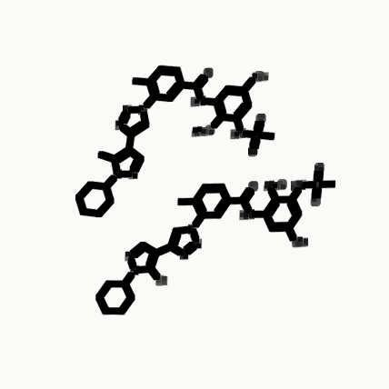 CCc1c(-c2cn(-c3cc(C(=O)Nc4cc(C(C)(C)C)cc(NS(C)(=O)=O)c4OC)ccc3C)nn2)cnn1C1CCCCC1.COc1c(NC(=O)c2ccc(C)c(-n3cc(-c4cnn(C5CCCCC5)c4C)nn3)c2)cc(C(C)(C)C)cc1NS(C)(=O)=O